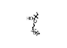 CCC(C)(C)[C@@H](O)OCCC[Si](C)(C)O[Si](C)(C)C